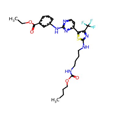 CCCCOC(=O)NCCCCNc1nc(C(F)(F)F)c(-c2ccnc(Nc3cccc(C(=O)OCC)c3)n2)s1